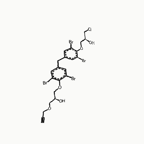 C#CCOC[C@H](O)COc1c(Br)cc(Cc2cc(Br)c(OC[C@H](O)CCl)c(Br)c2)cc1Br